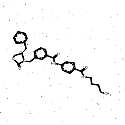 CCCCCNC(=O)c1ccc(NC(=O)c2cccc(CN3C(=O)OC[C@H]3Cc3ccccc3)c2)cc1